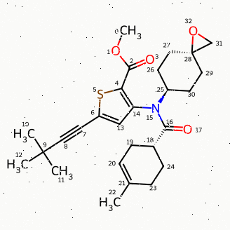 COC(=O)c1sc(C#CC(C)(C)C)cc1N(C(=O)[C@H]1CC=C(C)CC1)[C@H]1CC[C@@]2(CC1)CO2